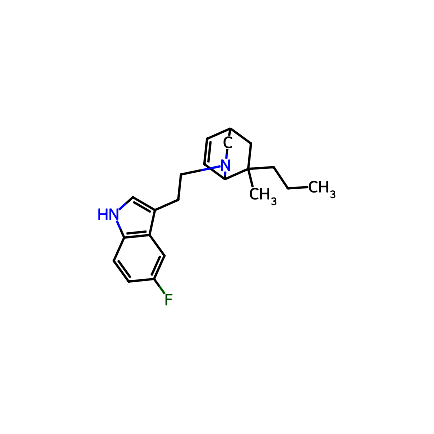 CCCC1(C)CC2C=CC1N(CCc1c[nH]c3ccc(F)cc13)C2